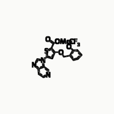 COC(=O)c1sc(-n2cnc3ccncc32)cc1OCc1ccccc1OC(F)(F)F